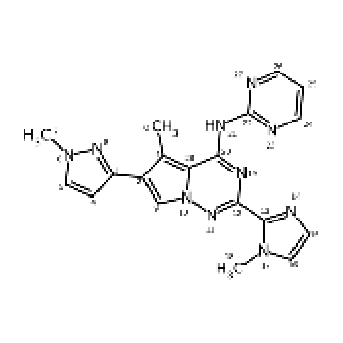 Cc1c(-c2ccn(C)n2)cn2nc(-c3nccn3C)nc(Nc3ncccn3)c12